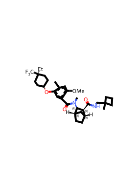 CC[C@]1(C(F)(F)F)CC[C@H](Oc2cc(C(=O)N(C)[C@@H]3[C@H]4CC[C@H](C4)[C@@H]3C(=O)NCC3(C)CCC3)c(OC)cc2C)CC1